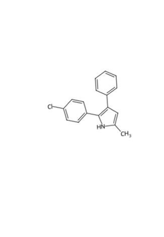 Cc1cc(-c2ccccc2)c(-c2ccc(Cl)cc2)[nH]1